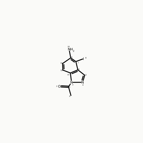 CC(=O)n1ncc2c(I)c(N)ccc21